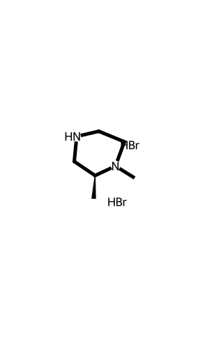 Br.Br.C[C@H]1CNCCN1C